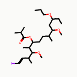 CCCOC(CC)CC(OC)C(C)CCC(OC(=O)C(C)C)C(C)C(OC)C(C)C=CI